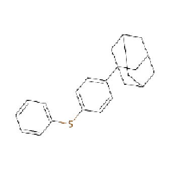 c1ccc(Sc2ccc(C34CC5CC(CC(C5)C3)C4)cc2)cc1